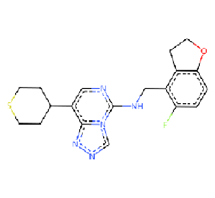 Fc1ccc2c(c1CNc1ncc(C3CCSCC3)c3nncn13)CCO2